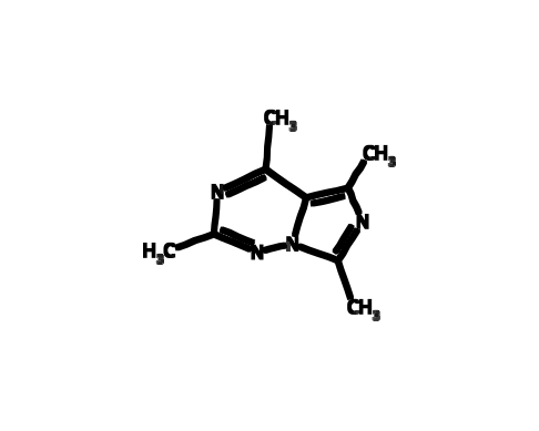 Cc1nc(C)c2c(C)nc(C)n2n1